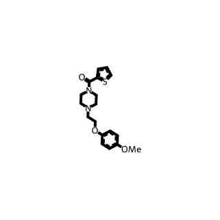 COc1ccc(OCCN2CCN(C(=O)c3cccs3)CC2)cc1